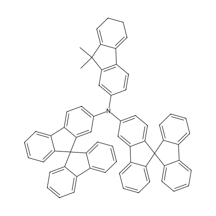 CC1(C)C2=CCCC=C2c2ccc(N(c3ccc4c(c3)-c3ccccc3C43c4ccccc4-c4ccccc43)c3ccc4c(c3)C3(c5ccccc5-c5ccccc53)c3ccccc3-4)cc21